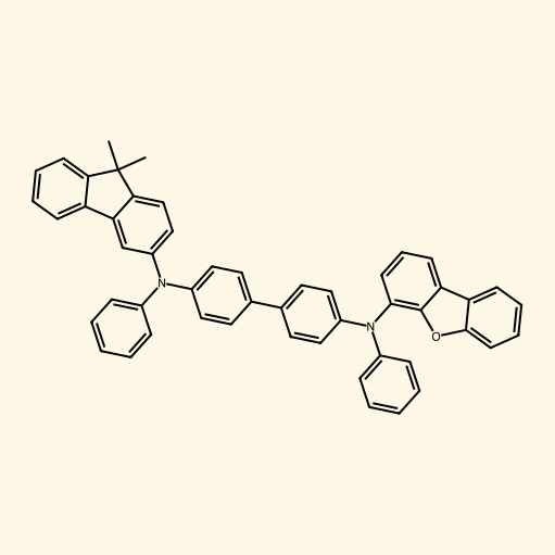 CC1(C)c2ccccc2-c2cc(N(c3ccccc3)c3ccc(-c4ccc(N(c5ccccc5)c5cccc6c5oc5ccccc56)cc4)cc3)ccc21